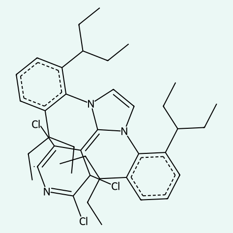 CCC(CC)c1cccc(C(CC)CC)c1N1C=CN(c2c(C(CC)CC)cccc2C(CC)CC)C1=C1C(Cl)=[C]N=C(Cl)C1Cl